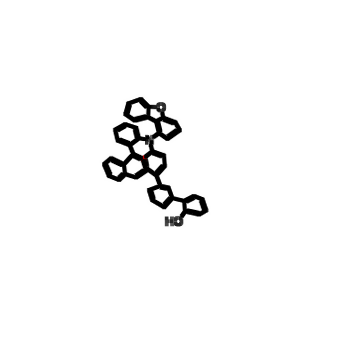 Oc1ccccc1-c1cccc(-c2ccc(N(c3ccccc3-c3cccc4ccccc34)c3cccc4oc5ccccc5c34)cc2)c1